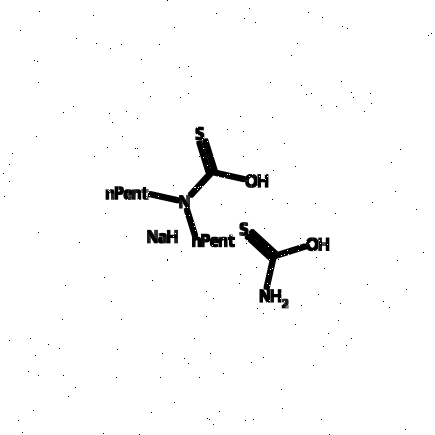 CCCCCN(CCCCC)C(O)=S.NC(O)=S.[NaH]